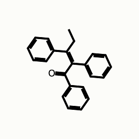 CC/C(=C(/C(=O)c1ccccc1)c1ccccc1)c1ccccc1